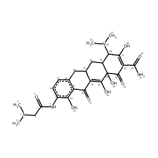 CN(C)CC(=O)Nc1ccc2c(c1O)C(=O)C1=C(O)C3(O)C(=O)C(C(N)=O)=C(O)C(N(C)C)C3CC1C2